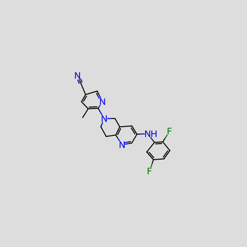 Cc1cc(C#N)cnc1N1CCc2ncc(Nc3cc(F)ccc3F)cc2C1